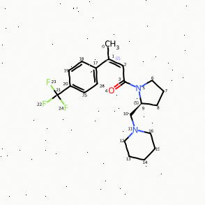 C/C(=C/C(=O)N1CCC[C@H]1CN1CCCCC1)c1ccc(C(F)(F)F)cc1